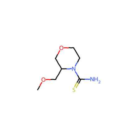 COCC1COCCN1C(N)=S